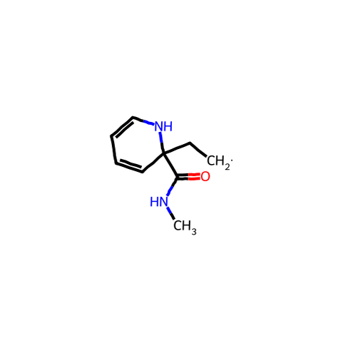 [CH2]CC1(C(=O)NC)C=CC=CN1